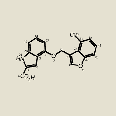 O=C(O)c1cc2c(OCc3coc4cccc(Cl)c34)cccc2[nH]1